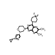 Cc1nc2nc(N3CCO[C@@H](c4cnn(C5CC5)c4)C3)nc(C3CCC(F)(F)CC3)c2nc1C